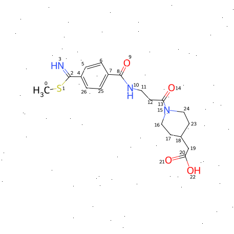 CSC(=N)c1ccc(C(=O)NCCC(=O)N2CCC(CC(=O)O)CC2)cc1